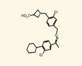 CCc1cc(CON=C(C)c2ccc(C3CCCCC3)c(CC)c2)ccc1CN1CC(C(=O)O)C1